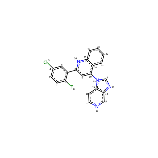 Fc1ccc(Cl)cc1-c1cc(-n2cnc3cnccc32)c2ccccc2n1